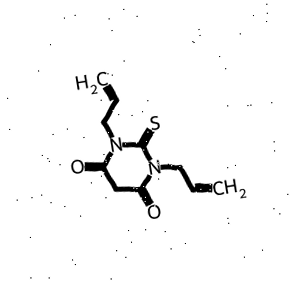 C=CCN1C(=O)CC(=O)N(CC=C)C1=S